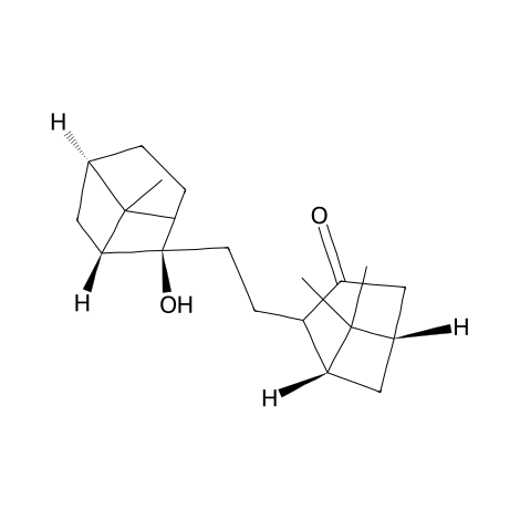 CC1(C)[C@@H]2CC(=O)C(CC[C@@]3(O)CC[C@@H]4C[C@@H]3C4(C)C)[C@H]1C2